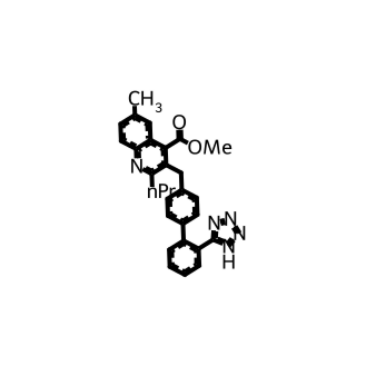 CCCc1nc2ccc(C)cc2c(C(=O)OC)c1Cc1ccc(-c2ccccc2-c2nnn[nH]2)cc1